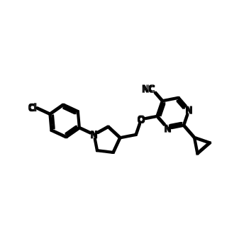 N#Cc1cnc(C2CC2)nc1OCC1CCN(c2ccc(Cl)cc2)C1